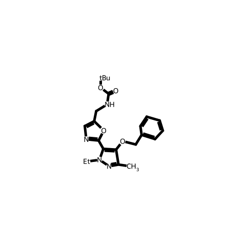 CCn1nc(C)c(OCc2ccccc2)c1-c1ncc(CNC(=O)OC(C)(C)C)o1